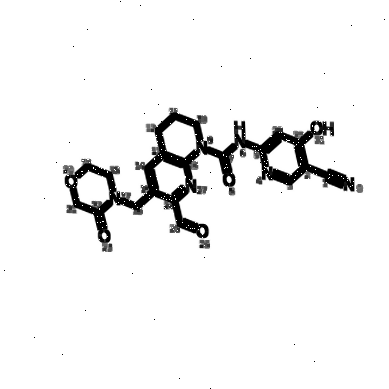 N#Cc1cnc(NC(=O)N2CCCc3cc(CN4CCOCC4=O)c(C=O)nc32)cc1O